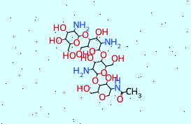 CC(=O)NC1COC(CO)C(OC2OC(CO)C(OC3OC(CO)C(OC4OC(CO)C(O)C(O)C4N)C(O)C3N)C(O)C2N)C1O